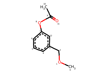 COCc1cccc(OC(C)=O)c1